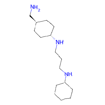 NC[C@H]1CC[C@H](NCCCNC2CCCCC2)CC1